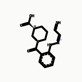 N=C/C=N\Nc1ccccc1C(=O)N1CCC[C@@H](C(=O)O)C1